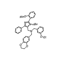 CCCCn1c(-c2ccccc2OC)nc(-c2ccccc2)c1CN(Cc1cccc(OCC)c1)Cc1ccc2c(c1)OCCO2